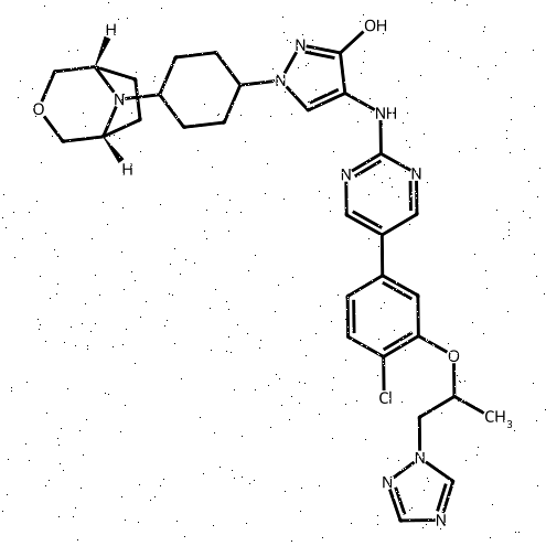 CC(Cn1cncn1)Oc1cc(-c2cnc(Nc3cn(C4CCC(N5[C@@H]6CC[C@H]5COC6)CC4)nc3O)nc2)ccc1Cl